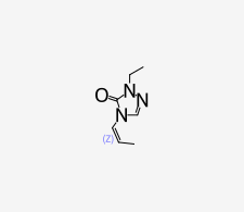 C/C=C\n1cnn(CC)c1=O